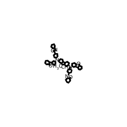 CC1(C)c2cc(N(C3=CC=C(c4nc5ccccc5o4)CC3)c3ccc4oc5ccccc5c4c3)ccc2-c2ccc(N(c3ccc(-c4nc5ccccc5o4)cc3)c3ccc4oc5ccccc5c4c3)cc21